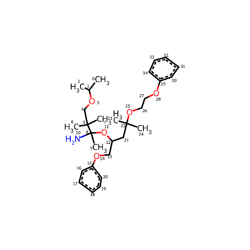 CC(C)OCC(C)(C)C(C)(N)OC(COc1ccccc1)CC(C)(C)OCCOc1ccccc1